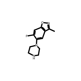 Cc1noc2cc(F)c(N3CCNCC3)cc12